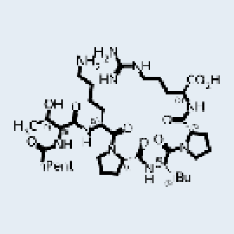 CCCCCC(=O)N[C@H](C(=O)N[C@@H](CCCCN)C(=O)N1CCC[C@H]1C(=O)N[C@H](C(=O)N1CCC[C@H]1C(=O)N[C@@H](CCCNC(=N)N)C(=O)O)[C@@H](C)CC)[C@@H](C)O